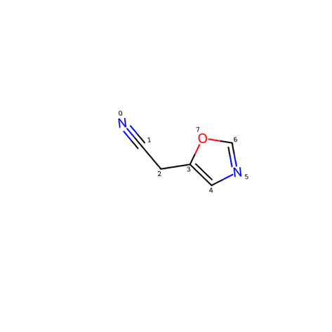 N#CCc1cnco1